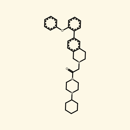 O=C(CN1CCc2cc(-c3ccccc3Oc3ccccc3)ccc2C1)N1CCN(C2CCCCC2)CC1